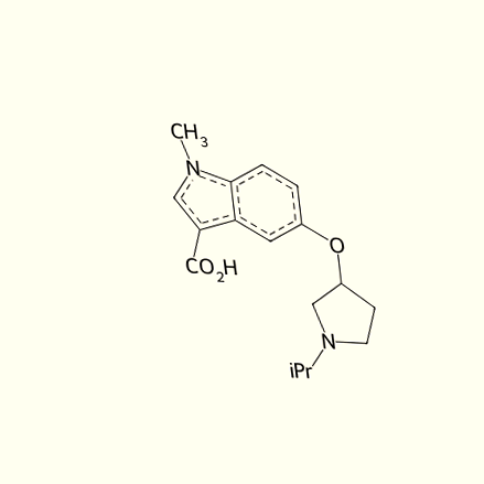 CC(C)N1CCC(Oc2ccc3c(c2)c(C(=O)O)cn3C)C1